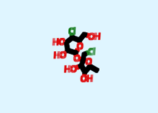 CC1OC(CCl)(OC2OC(CO)C(Cl)C(O)C2O)C(O)C1O